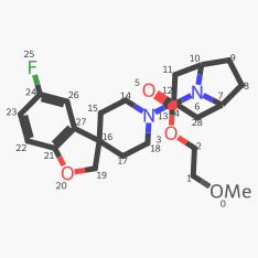 COCCOC(=O)N1C2CCC1CC(N1CCC3(CC1)COc1ccc(F)cc13)C2